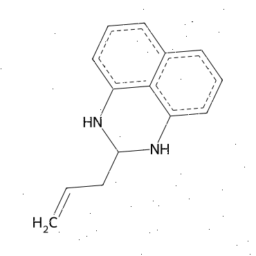 C=CCC1Nc2cccc3cccc(c23)N1